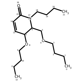 CCCCOCC1C(OCCCC)C=CC(=O)N1CCCC